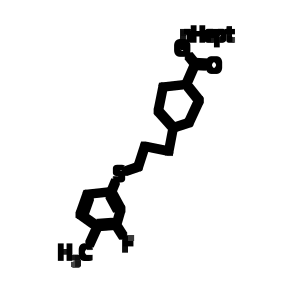 CCCCCCCOC(=O)C1CCC(CCCSc2ccc(C)c(F)c2)CC1